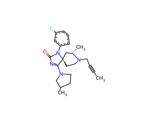 CC#CCN1CC[C@@]2(C[C@@H]1C)C(N1CCC(C)C1)=NC(=O)N2c1cccc(F)c1